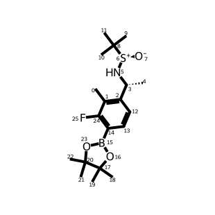 Cc1c([C@@H](C)N[S@+]([O-])C(C)(C)C)ccc(B2OC(C)(C)C(C)(C)O2)c1F